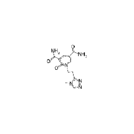 Cn1cnnc1CCn1cc(C(N)=O)cc(C(N)=O)c1=O